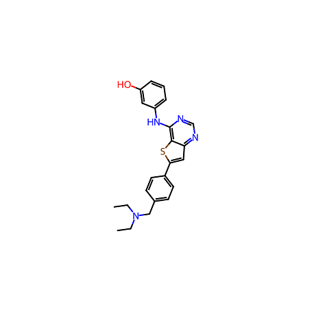 CCN(CC)Cc1ccc(-c2cc3ncnc(Nc4cccc(O)c4)c3s2)cc1